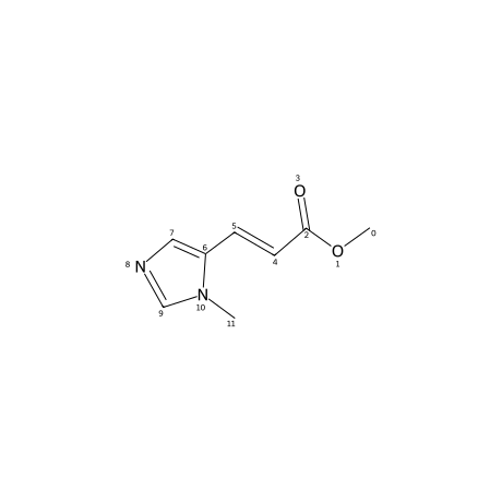 COC(=O)C=Cc1cncn1C